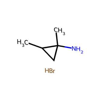 Br.CC1CC1(C)N